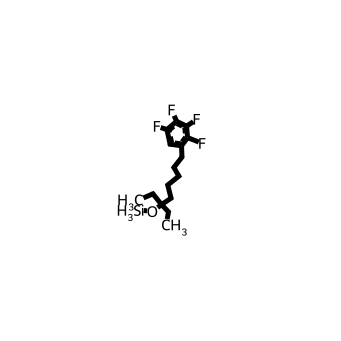 CCC(CC)(CCCCCc1cc(F)c(F)c(F)c1F)O[SiH3]